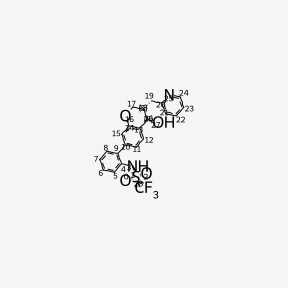 O=S(=O)(Nc1ccccc1-c1ccc2c(c1)OC[C@H](Cc1ccccn1)[C@H]2O)C(F)(F)F